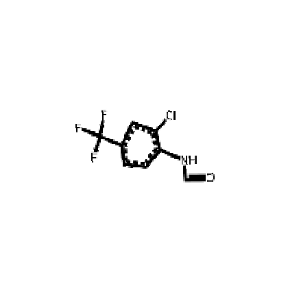 O=CNc1ccc(C(F)(F)F)cc1Cl